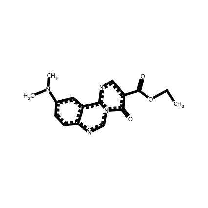 CCOC(=O)c1cnc2c3cc(N(C)C)ccc3ncn2c1=O